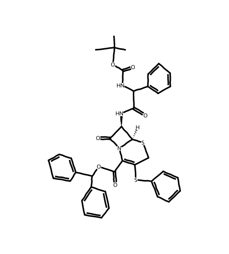 CC(C)(C)OC(=O)NC(C(=O)N[C@@H]1C(=O)N2C(C(=O)OC(c3ccccc3)c3ccccc3)=C(Sc3ccccc3)CS[C@H]12)c1ccccc1